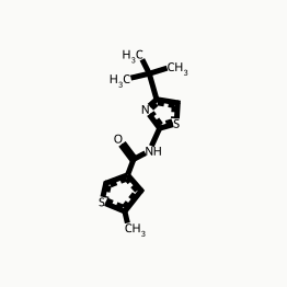 Cc1cc(C(=O)Nc2nc(C(C)(C)C)cs2)cs1